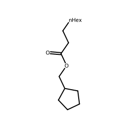 [CH2]CCCCCCCC(=O)OCC1CCCC1